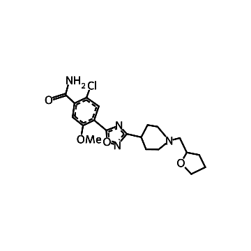 COc1cc(C(N)=O)c(Cl)cc1-c1nc(C2CCN(CC3CCCO3)CC2)no1